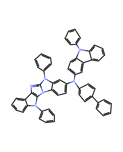 c1ccc(-c2ccc(N(c3ccc4c(c3)c3ccccc3n4-c3ccccc3)c3ccc4c(c3)n(-c3ccccc3)c3nc5c6ccccc6n(-c6ccccc6)c5n43)cc2)cc1